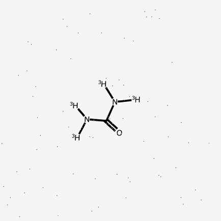 [3H]N([3H])C(=O)N([3H])[3H]